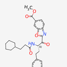 COC(=O)c1ccc2nc(C(=O)[C@H](CCc3ccccc3)NC(=O)CCC3CCCCC3)oc2c1